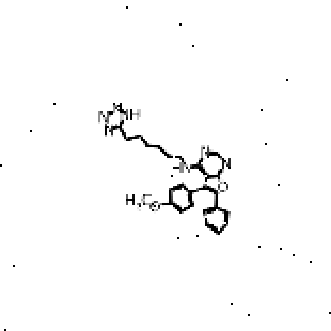 COc1ccc(-c2c(-c3ccccc3)oc3ncnc(NCCCCCCc4nnn[nH]4)c23)cc1